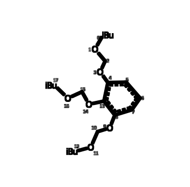 CCC(C)OCOc1cccc(OCOC(C)CC)c1OCOC(C)CC